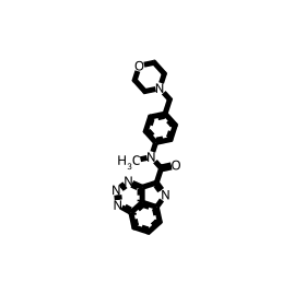 CN(C(=O)C1=Nc2cccc3nnnc1c23)c1ccc(CN2CCOCC2)cc1